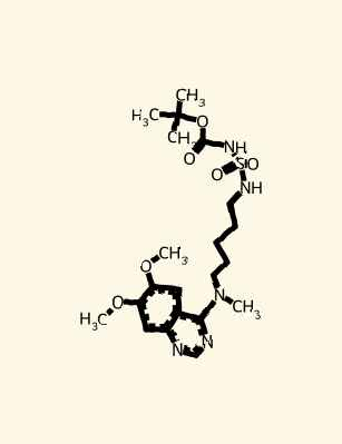 COc1cc2ncnc(N(C)CCCCCNS(=O)(=O)NC(=O)OC(C)(C)C)c2cc1OC